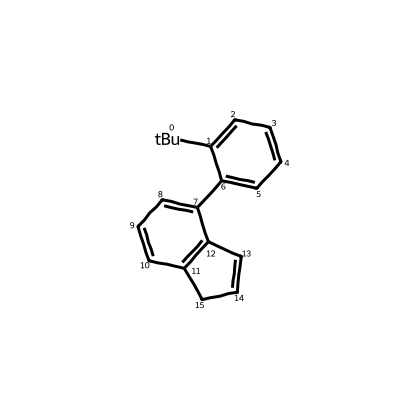 CC(C)(C)c1ccccc1-c1cccc2c1C=CC2